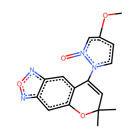 COc1ccn(C2=CC(C)(C)Oc3cc4nonc4cc32)[n+](=O)c1